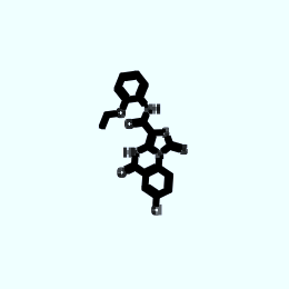 CCOc1ccccc1NC(=O)c1sc(=S)n2c1[nH]c(=O)c1cc(Cl)ccc12